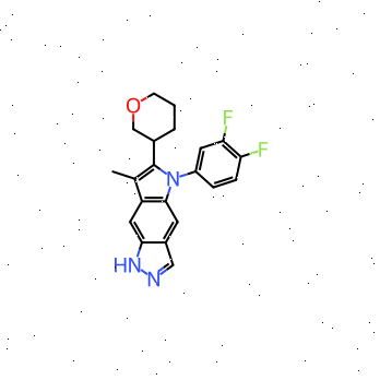 Cc1c(C2CCCOC2)n(-c2ccc(F)c(F)c2)c2cc3cn[nH]c3cc12